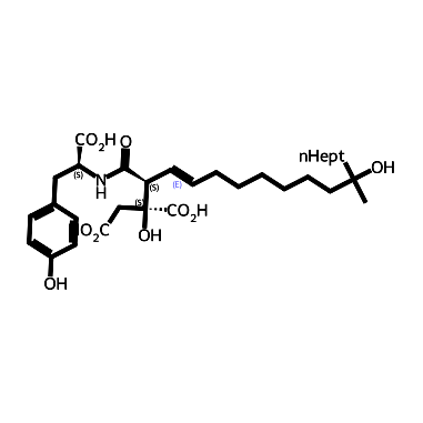 CCCCCCCC(C)(O)CCCCCC/C=C/[C@H](C(=O)N[C@@H](Cc1ccc(O)cc1)C(=O)O)[C@@](O)(CC(=O)O)C(=O)O